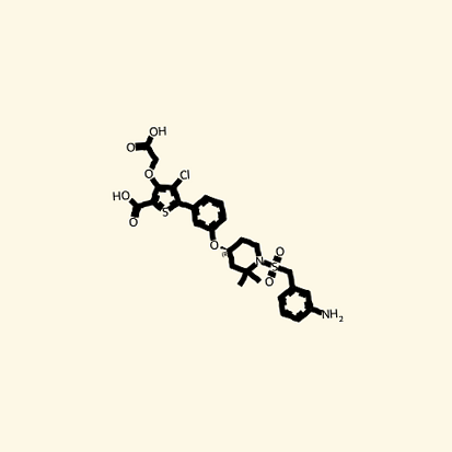 CC1(C)C[C@H](Oc2cccc(-c3sc(C(=O)O)c(OCC(=O)O)c3Cl)c2)CCN1S(=O)(=O)Cc1cccc(N)c1